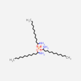 CCCCCCCCCCCC(N)OP(=O)(OC(N)CCCCCCCCCCC)OC(N)CCCCCCCCCCC